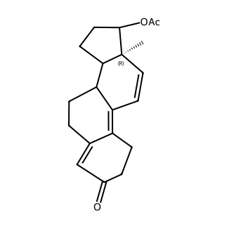 CC(=O)OC1CCC2C3CCC4=CC(=O)CCC4=C3C=C[C@]12C